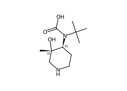 CC(C)(C)N(C(=O)O)[C@H]1CCNC[C@]1(C)O